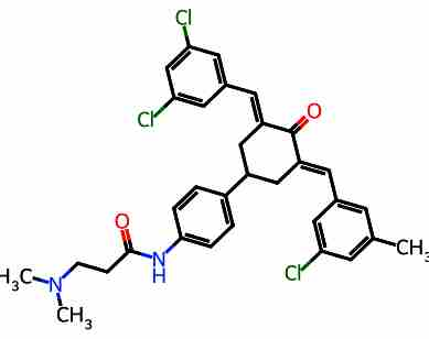 Cc1cc(Cl)cc(/C=C2\CC(c3ccc(NC(=O)CCN(C)C)cc3)C/C(=C\c3cc(Cl)cc(Cl)c3)C2=O)c1